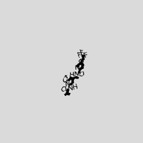 COc1cc(C(C)NC(=O)c2ccc(OCC(F)(F)F)cn2)cc(NC(=O)C(C)C)n1